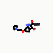 COC(=O)c1[nH]c2cc(OCCN3CCCC3)ccc2c1Br